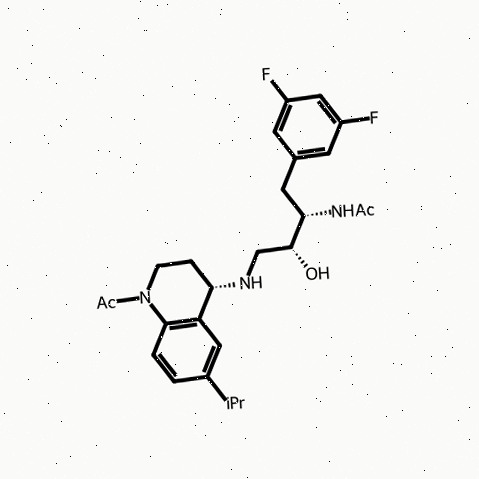 CC(=O)N[C@@H](Cc1cc(F)cc(F)c1)[C@H](O)CN[C@H]1CCN(C(C)=O)c2ccc(C(C)C)cc21